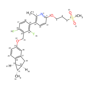 Cc1nc(OCCCS(C)(=O)=O)ccc1-c1ccc(F)c(COc2ccc3c(c2)C[C@H]2[C@H](C)[C@@H]32)c1F